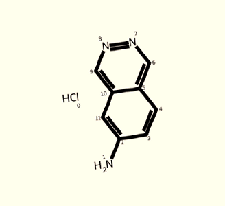 Cl.Nc1ccc2cnncc2c1